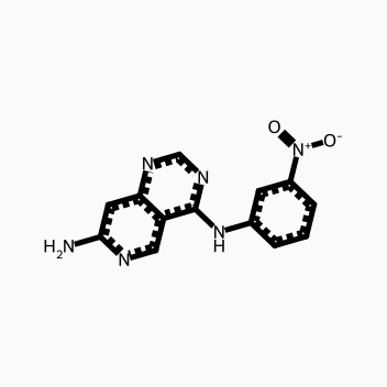 Nc1cc2ncnc(Nc3cccc([N+](=O)[O-])c3)c2cn1